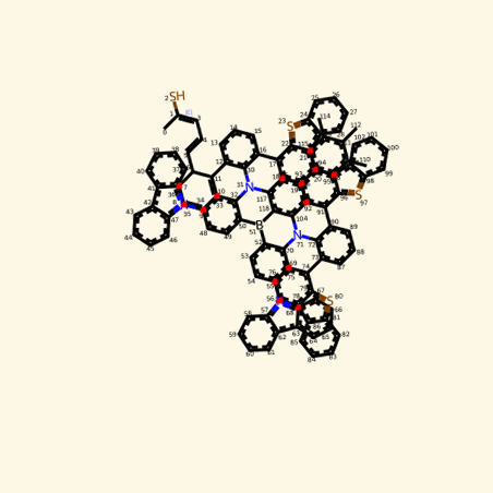 C/C(S)=C\C=CC1CC=CC=C1c1cccc(-c2cccc3c2sc2ccccc23)c1N1c2cc(-n3c4ccccc4c4ccccc43)ccc2B2c3ccc(-n4c5ccccc5c5ccccc54)cc3N(c3c(-c4cccc5c4sc4ccccc45)cccc3-c3cccc4c3sc3ccccc34)c3cc(-c4cc(C)c(C)c(C)c4)cc1c32